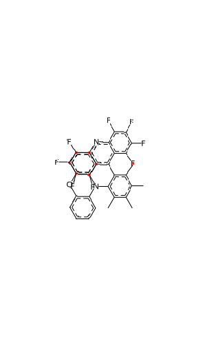 Cc1c(C)c(C)c(N2c3ccccc3Oc3ccccc32)c(-c2c3c(F)c(F)c(F)c(F)c3nc3c(F)c(F)c(F)c(F)c23)c1C